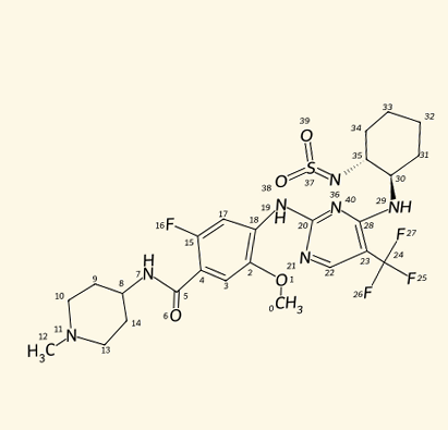 COc1cc(C(=O)NC2CCN(C)CC2)c(F)cc1Nc1ncc(C(F)(F)F)c(N[C@@H]2CCCC[C@H]2N=S(=O)=O)n1